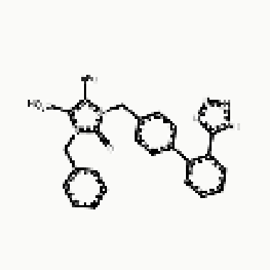 CCCCc1c(C(=O)O)n(Cc2ccccc2)c(=O)n1Cc1ccc(-c2ccccc2-c2nnn[nH]2)cc1